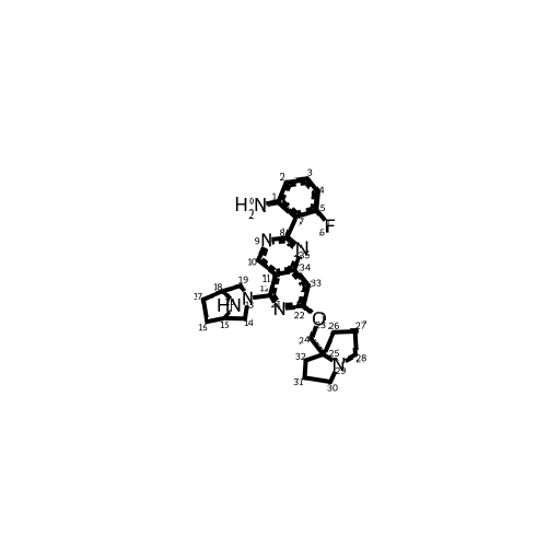 Nc1cccc(F)c1-c1ncc2c(N3CC4CCC(C3)N4)nc(OCC34CCCN3CCC4)cc2n1